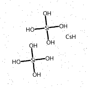 O[Si](O)(O)O.O[Si](O)(O)O.[CsH]